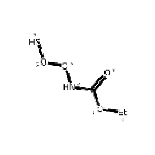 CCOC(=O)NOOS